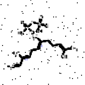 C=C/C(C)=C/C/C=C(\C)CCC=C(C)C.O=P(O)(O)OP(=O)(O)O